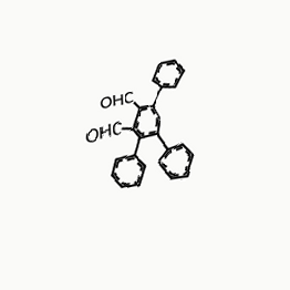 O=Cc1c(-c2ccccc2)cc(-c2ccccc2)c(-c2ccccc2)c1C=O